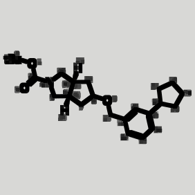 CC(C)(C)OC(=O)N1C[C@H]2CC(OCc3cccc(C4CCCC4)c3)C[C@H]2C1